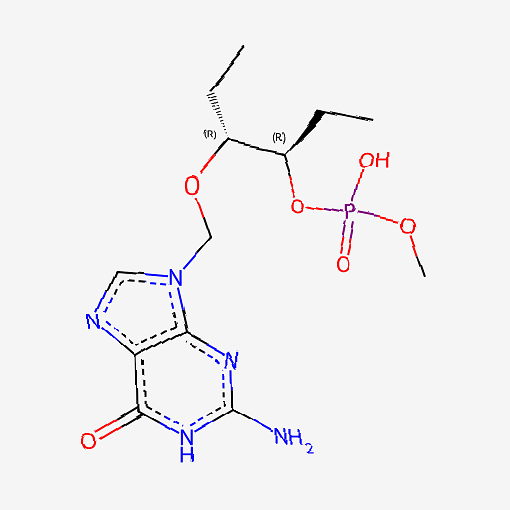 CC[C@@H](OCn1cnc2c(=O)[nH]c(N)nc21)[C@@H](CC)OP(=O)(O)OC